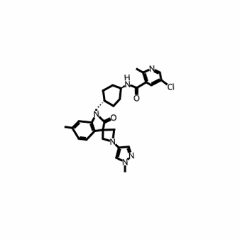 Cc1ccc2c(c1)N(C[C@H]1CC[C@H](NC(=O)c3cc(Cl)cnc3C)CC1)C(=O)C21CN(c2cnn(C)c2)C1